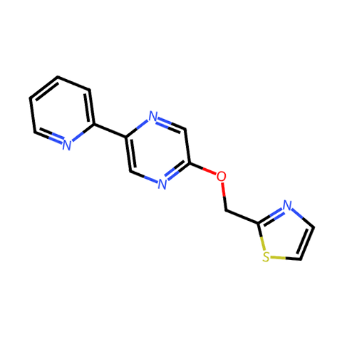 c1ccc(-c2cnc(OCc3nccs3)cn2)nc1